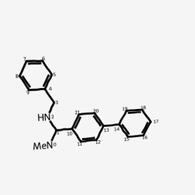 CNC(NCc1ccccc1)c1ccc(-c2ccccc2)cc1